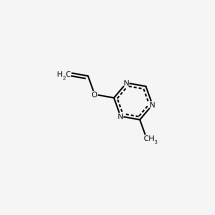 C=COc1ncnc(C)n1